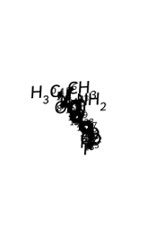 CCCN(CCC)C(=O)C1=Cc2ccc(-c3ccc(OS(=O)(=O)C(F)(F)F)cc3)cc2N=C(N)C1